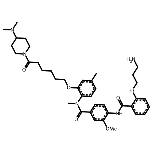 COc1cc(C(=O)N(C)c2ccc(C)cc2OCCCCCC(=O)N2CCC(N(C)C)CC2)ccc1NC(=O)c1ccccc1OCCCN